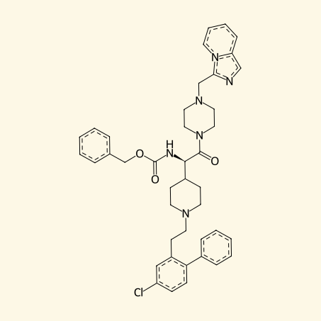 O=C(N[C@@H](C(=O)N1CCN(Cc2ncc3ccccn23)CC1)C1CCN(CCc2cc(Cl)ccc2-c2ccccc2)CC1)OCc1ccccc1